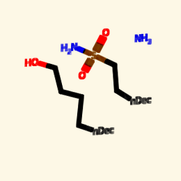 CCCCCCCCCCCCCCO.CCCCCCCCCCCCS(N)(=O)=O.N